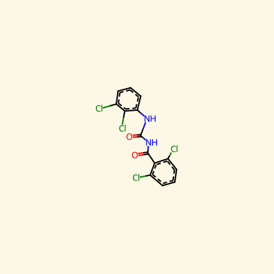 O=C(NC(=O)c1c(Cl)cccc1Cl)Nc1cccc(Cl)c1Cl